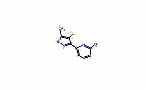 Cc1[nH]nc(-c2cccc(C#N)n2)c1Cl